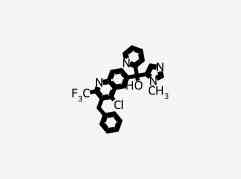 Cn1cncc1C(O)(c1ccc2nc(C(F)(F)F)c(Cc3ccccc3)c(Cl)c2c1)c1ccccn1